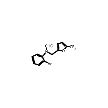 CC(=O)c1ccccc1N(C=O)Cc1ccc(C(F)(F)F)o1